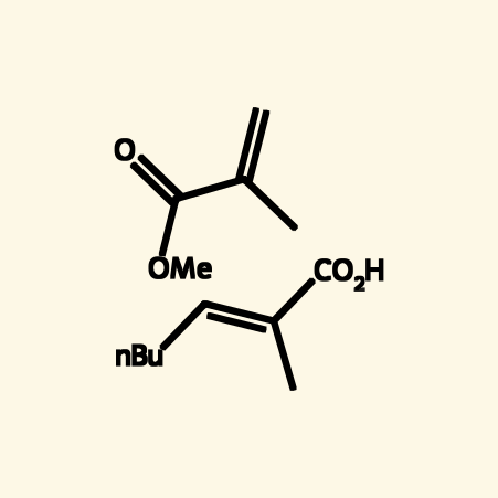 C=C(C)C(=O)OC.CCCCC=C(C)C(=O)O